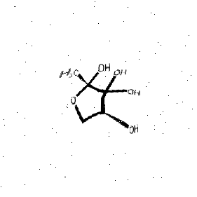 C[C@]1(O)OC[C@H](O)C1(O)O